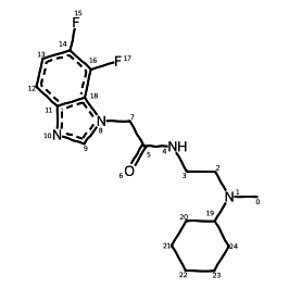 CN(CCNC(=O)Cn1cnc2ccc(F)c(F)c21)C1CCCCC1